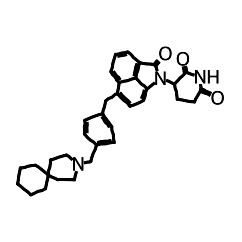 O=C1CCC(N2C(=O)c3cccc4c(Cc5ccc(CN6CCC7(CCCCC7)CC6)cc5)ccc2c34)C(=O)N1